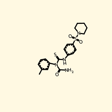 Cc1cccc(N(C(N)=O)C(=S)Nc2ccc(S(=O)(=O)N3CCCCC3)cc2)c1